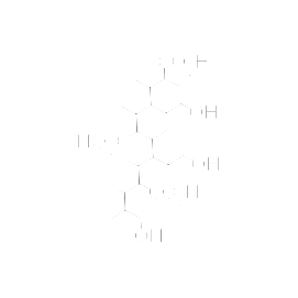 CC(CO)C(C)C(C(=O)O)C(C)C(CCO)C(C)C(C(=O)O)C(C)C(CCO)C(C)C(C)C(=O)O